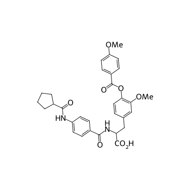 COc1ccc(C(=O)Oc2ccc(CC(NC(=O)c3ccc(NC(=O)C4CCCC4)cc3)C(=O)O)cc2OC)cc1